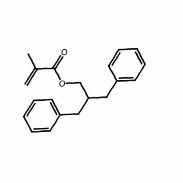 C=C(C)C(=O)OCC(Cc1ccccc1)Cc1ccccc1